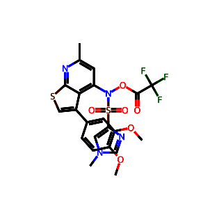 COc1ccc(-c2csc3nc(C)cc(N(OC(=O)C(F)(F)F)S(=O)(=O)c4cn(C)cn4)c23)cc1OC